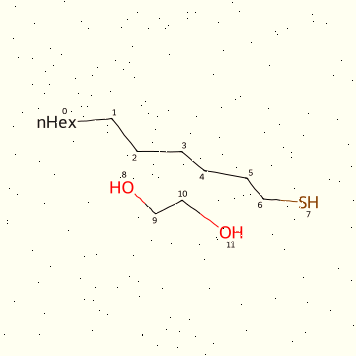 CCCCCCCCCCCCS.OCCO